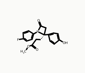 COC(=O)CC[C@@]1(c2ccc(O)cc2)CC(=O)N1c1ccc(F)cc1